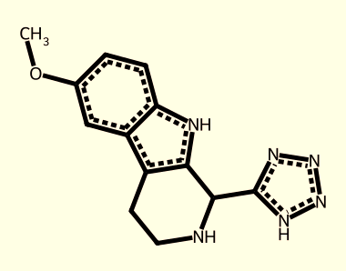 COc1ccc2[nH]c3c(c2c1)CCNC3c1nnn[nH]1